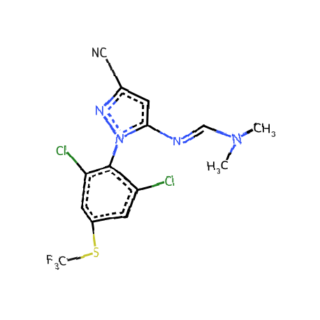 CN(C)C=Nc1cc(C#N)nn1-c1c(Cl)cc(SC(F)(F)F)cc1Cl